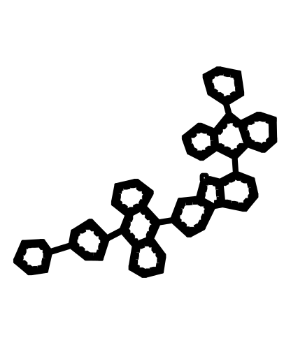 c1ccc(-c2ccc(-c3c4ccccc4c(-c4ccc5c(c4)oc4c(-c6c7ccccc7c(-c7ccccc7)c7ccccc67)cccc45)c4ccccc34)cc2)cc1